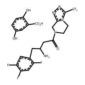 NC(CC(=O)N1CCn2c(nnc2C(F)(F)F)C1)Cc1cc(F)c(F)cc1F.O=C(O)c1cc(O)ccc1O